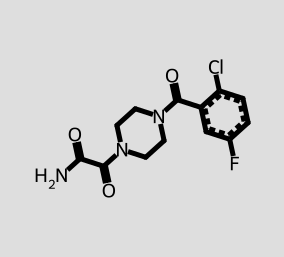 NC(=O)C(=O)N1CCN(C(=O)c2cc(F)ccc2Cl)CC1